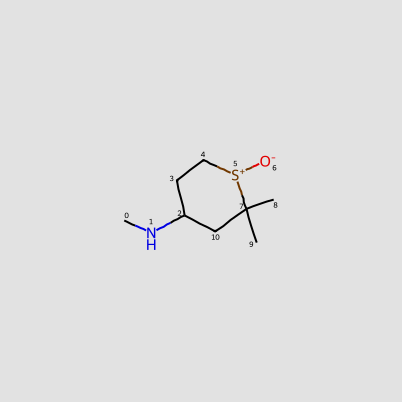 CNC1CC[S+]([O-])C(C)(C)C1